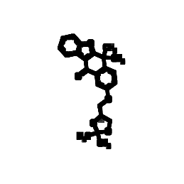 CC1(C)OC[C@H](COc2ccc3c(c2)C(=O)c2c(oc4ccccc24)C3(C)C)O1